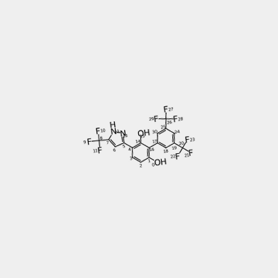 Oc1ccc(-c2cc(C(F)(F)F)[nH]n2)c(O)c1-c1cc(C(F)(F)F)cc(C(F)(F)F)c1